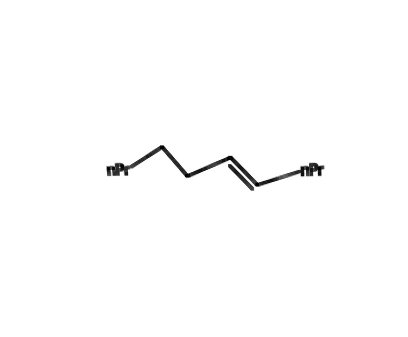 [CH2]CCCCC=CCCC